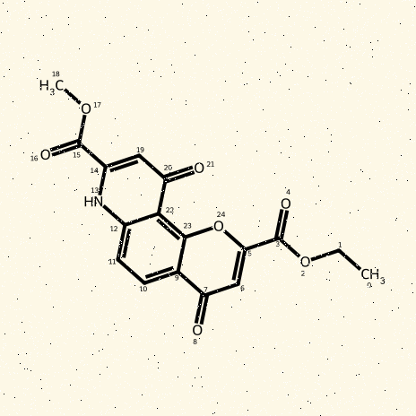 CCOC(=O)c1cc(=O)c2ccc3[nH]c(C(=O)OC)cc(=O)c3c2o1